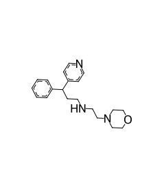 c1ccc(C(CCNCCN2CCOCC2)c2ccncc2)cc1